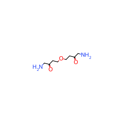 NCC(=O)CCOCCC(=O)CN